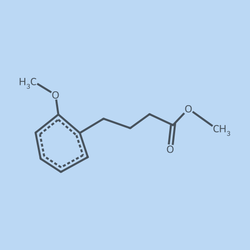 COC(=O)CCCc1ccccc1OC